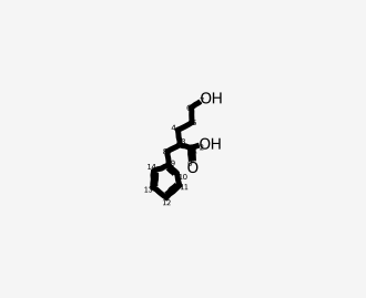 O=C(O)C(CCCO)Cc1ccccc1